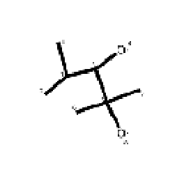 CC(C)C([O])C(C)(C)[O]